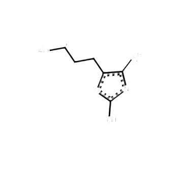 Cc1nc(C)c(CCCO)s1